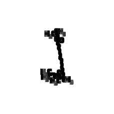 CC(C)COC(=O)CCCCCCCCCCCCCCC(C)C(C)C(=O)OCC(C)C